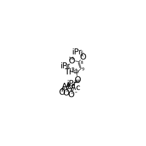 CC(=O)[O-].CC(=O)[O-].CC(=O)[O-].CC(C)OC(=C[CH]([Ti+3])OC(C)C)OC(C)C